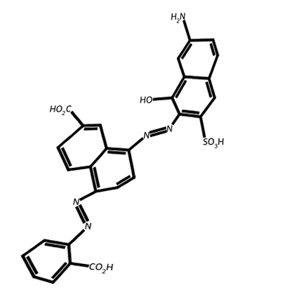 Nc1ccc2cc(S(=O)(=O)O)c(N=Nc3ccc(N=Nc4ccccc4C(=O)O)c4ccc(C(=O)O)cc34)c(O)c2c1